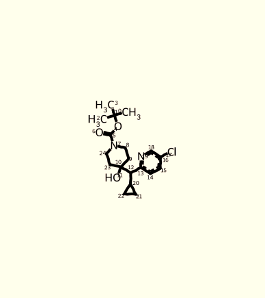 CC(C)(C)OC(=O)N1CCC(O)(C(c2ccc(Cl)cn2)C2CC2)CC1